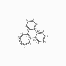 C1=Cc2c(c3ccccc3c3ccccc23)C=NN=1